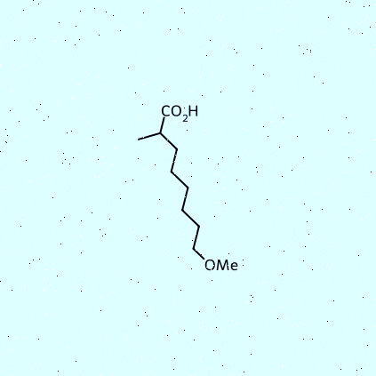 COCCCCCCC(C)C(=O)O